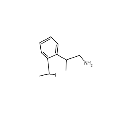 CC(I)c1ccccc1C(C)CN